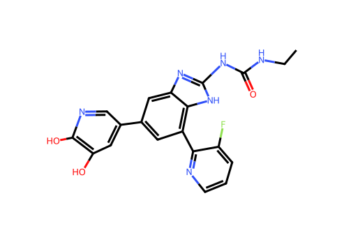 CCNC(=O)Nc1nc2cc(-c3cnc(O)c(O)c3)cc(-c3ncccc3F)c2[nH]1